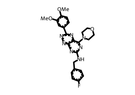 COc1ccc(-c2nnc3nc(NCc4ccc(F)cc4)nc(N4CCOCC4)c3n2)cc1OC